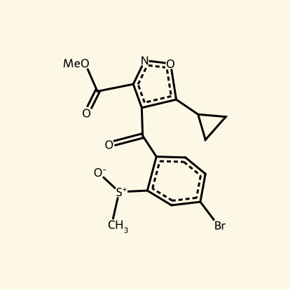 COC(=O)c1noc(C2CC2)c1C(=O)c1ccc(Br)cc1[S+](C)[O-]